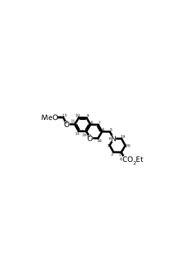 CCOC(=O)C1CCN(CC2=Cc3ccc(OCOC)cc3OC2)CC1